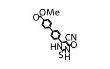 COC(=O)c1ccc(-c2ccc(-c3[nH]c(=S)[nH]c(=O)c3C#N)cc2)cc1